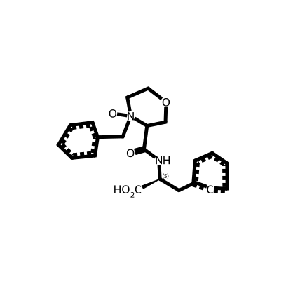 O=C(N[C@@H](Cc1ccccc1)C(=O)O)C1COCC[N+]1([O-])Cc1ccccc1